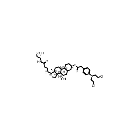 C[C@H](CCC(=O)NCCS(=O)(=O)O)[C@H]1CC[C@H]2[C@@H]3[C@@H](O)CC4C[C@H](OC(=O)Cc5ccc(N(CCCl)CCCl)cc5)CC[C@]4(C)[C@H]3CC[C@]12C